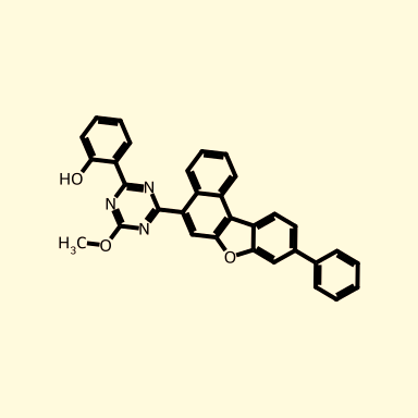 COc1nc(-c2ccccc2O)nc(-c2cc3oc4cc(-c5ccccc5)ccc4c3c3ccccc23)n1